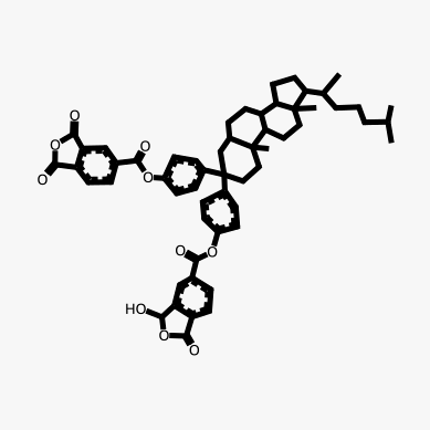 CC(C)CCCC(C)C1CCC2C3CCC4CC(c5ccc(OC(=O)c6ccc7c(c6)C(=O)OC7=O)cc5)(c5ccc(OC(=O)c6ccc7c(c6)C(O)OC7=O)cc5)CCC4(C)C3CCC12C